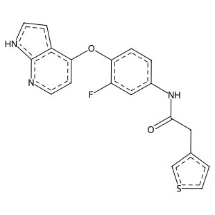 O=C(Cc1ccsc1)Nc1ccc(Oc2ccnc3[nH]ccc23)c(F)c1